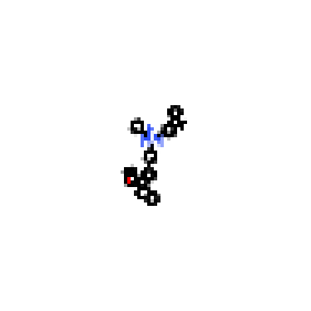 CC1(C)c2ccccc2-c2cc(-c3nc(-c4ccccc4)nc(-c4ccc(-c5ccc6c(c5)C5(c7ccc8ccccc8c7-6)C6CC7CC(C6)CC5C7)cc4)n3)ccc21